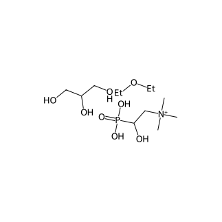 CCOCC.C[N+](C)(C)CC(O)P(=O)(O)O.OCC(O)CO